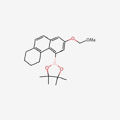 COCOc1cc(B2OC(C)(C)C(C)(C)O2)c2c3c(ccc2c1)CCCC3